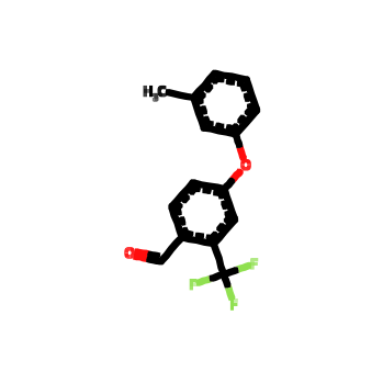 Cc1cccc(Oc2ccc(C=O)c(C(F)(F)F)c2)c1